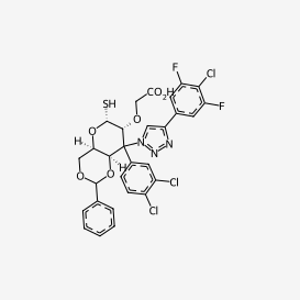 O=C(O)CO[C@H]1[C@@H](S)O[C@@H]2COC(c3ccccc3)O[C@@H]2C1(c1ccc(Cl)c(Cl)c1)n1cc(-c2cc(F)c(Cl)c(F)c2)nn1